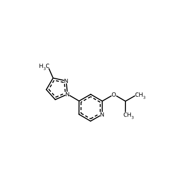 Cc1ccn(-c2ccnc(OC(C)C)c2)n1